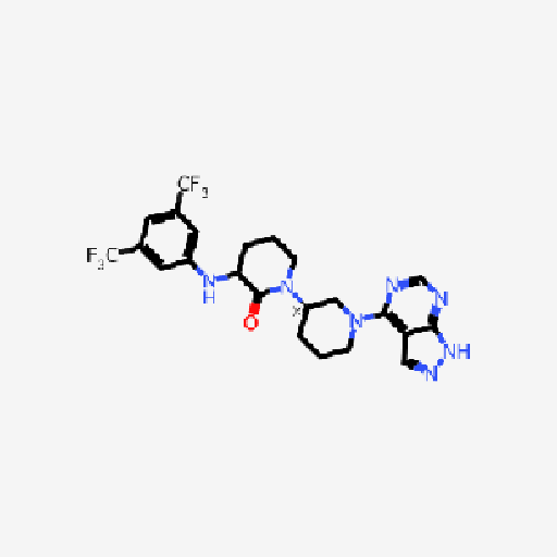 O=C1C(Nc2cc(C(F)(F)F)cc(C(F)(F)F)c2)CCCN1[C@@H]1CCCN(c2ncnc3[nH]ncc23)C1